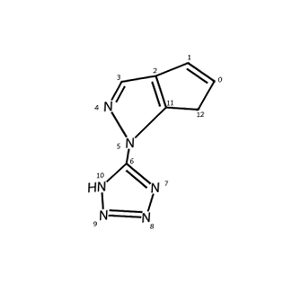 C1=Cc2cnn(-c3nnn[nH]3)c2C1